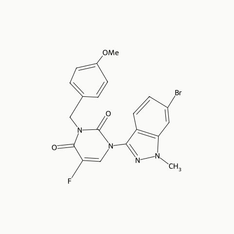 COc1ccc(Cn2c(=O)c(F)cn(-c3nn(C)c4cc(Br)ccc34)c2=O)cc1